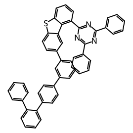 c1ccc(-c2nc(-c3ccccc3)nc(-c3cccc4sc5ccc(-c6cccc(-c7ccc(-c8ccccc8-c8ccccc8)cc7)c6)cc5c34)n2)cc1